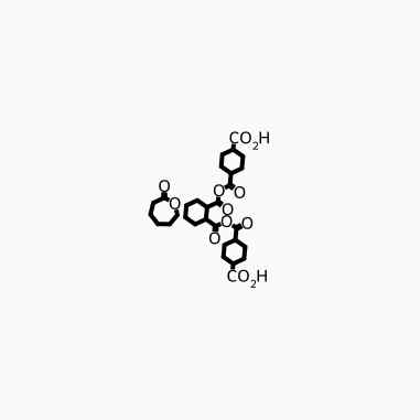 O=C(O)C1CCC(C(=O)OC(=O)C2CCCCC2C(=O)OC(=O)C2CCC(C(=O)O)CC2)CC1.O=C1CCCCCO1